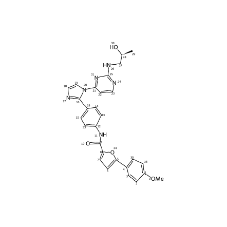 COc1ccc(-c2ccc(C(=O)Nc3ccc(-c4nccn4-c4ccnc(NC[C@H](C)O)n4)cc3)o2)cc1